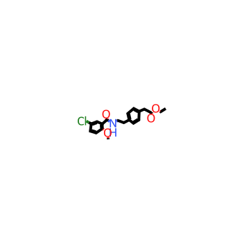 CCOC(=O)Cc1ccc(CCNC(=O)c2cc(Cl)ccc2OC)cc1